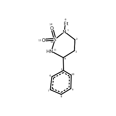 CCN1CCC(c2ccccc2)NS1(=O)=O